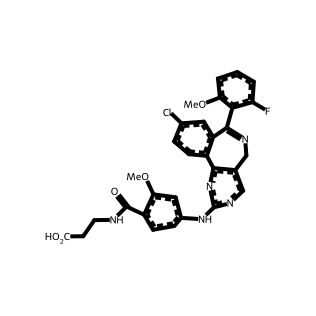 COc1cc(Nc2ncc3c(n2)-c2ccc(Cl)cc2C(c2c(F)cccc2OC)=NC3)ccc1C(=O)NCCC(=O)O